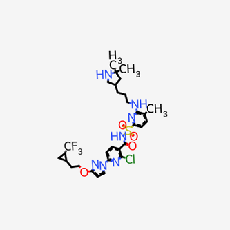 Cc1ccc(S(=O)(=O)NC(=O)c2ccc(-n3ccc(OCCC4CC4C(F)(F)F)n3)nc2Cl)nc1NCCCC1CNC(C)(C)C1